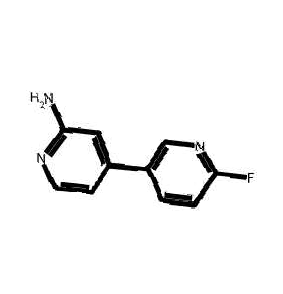 Nc1cc(-c2ccc(F)nc2)ccn1